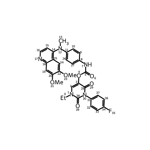 CCn1cc(OC(=O)Nc2ccc(N(C)c3ccnc4cc(OC)c(OC)cc34)cc2)c(=O)n(-c2ccc(F)cc2)c1=O